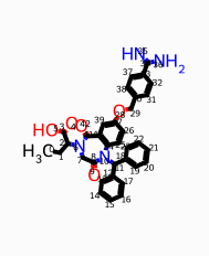 CCC(C(=O)O)N1CC(=O)N(C(c2ccccc2)c2ccccc2)c2ccc(OCc3ccc(C(=N)N)cc3)cc2C1=O